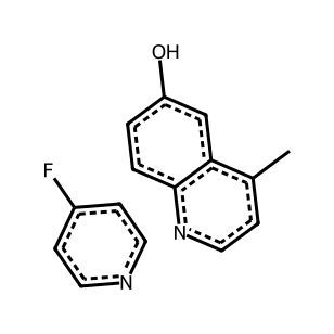 Cc1ccnc2ccc(O)cc12.Fc1ccncc1